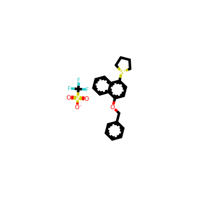 O=S(=O)([O-])C(F)(F)F.c1ccc(COc2ccc([S+]3CCCC3)c3ccccc23)cc1